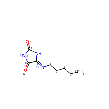 CCCCC/N=C1\NC(=O)NC1=O